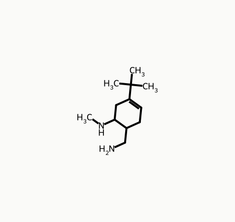 CNC1CC(C(C)(C)C)=CCC1CN